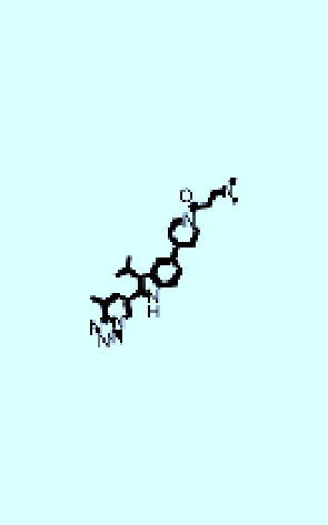 Cc1cc(-c2[nH]c3ccc(C4CCN(C(=O)CCN(C)C)CC4)cc3c2C(C)C)cn2nnnc12